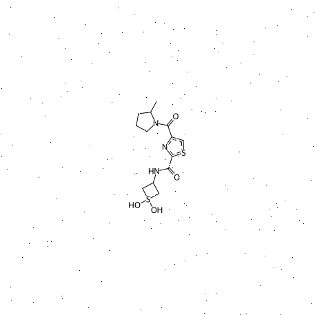 CC1CCCN1C(=O)c1csc(C(=O)NC2CS(O)(O)C2)n1